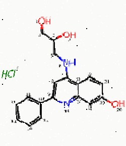 Cl.OC[C@@H](O)CNc1cc(-c2ccccc2)nc2cc(O)ccc12